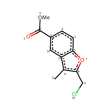 COC(=O)c1ccc2oc(CCl)c(C)c2c1